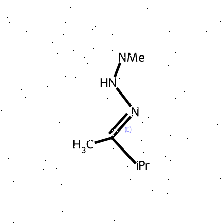 CNN/N=C(\C)C(C)C